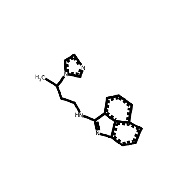 CC(CCNC1=Nc2cccc3cccc1c23)n1ccnc1